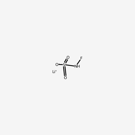 O=S(=O)([O-])NF.[Li+]